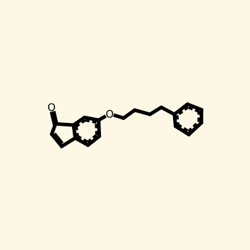 O=C1C=Cc2ccc(OCCCCc3ccccc3)cc21